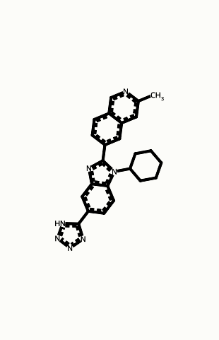 Cc1cc2cc(-c3nc4cc(-c5nnn[nH]5)ccc4n3C3CCCCC3)ccc2cn1